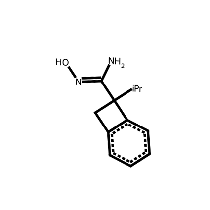 CC(C)C1(C(N)=NO)Cc2ccccc21